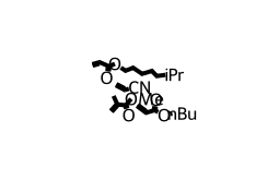 C=C(C)C(=O)OC.C=CC#N.C=CC(=O)OCCCC.C=CC(=O)OCCCCCC(C)C